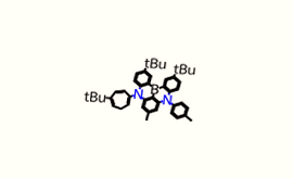 Cc1ccc(N2c3ccc(C(C)(C)C)cc3B3c4cc(C(C)(C)C)ccc4N(C4=CCC=C(C(C)(C)C)C=C4)c4cc(C)cc2c43)cc1